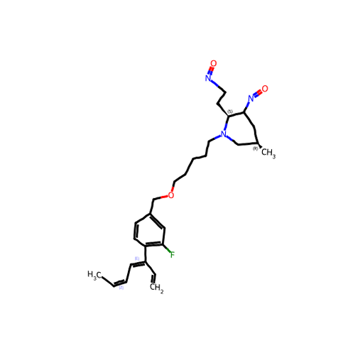 C=C/C(=C\C=C/C)c1ccc(COCCCCCN2C[C@H](C)CC(N=O)[C@@H]2CCN=O)cc1F